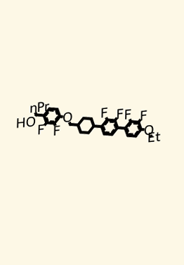 CCCC(O)c1ccc(OCC2CCC(c3ccc(-c4ccc(OCC)c(F)c4F)c(F)c3F)CC2)c(F)c1F